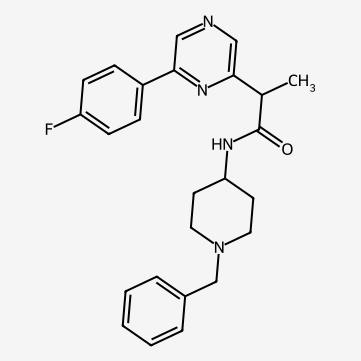 CC(C(=O)NC1CCN(Cc2ccccc2)CC1)c1cncc(-c2ccc(F)cc2)n1